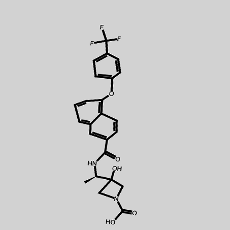 C[C@@H](NC(=O)c1ccc2c(Oc3ccc(C(F)(F)F)cc3)cccc2c1)C1(O)CN(C(=O)O)C1